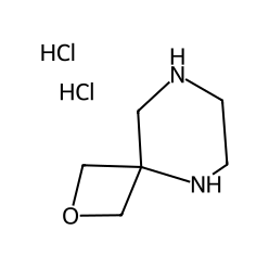 C1CNC2(CN1)COC2.Cl.Cl